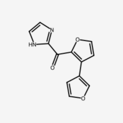 O=C(c1ncc[nH]1)c1occc1-c1ccoc1